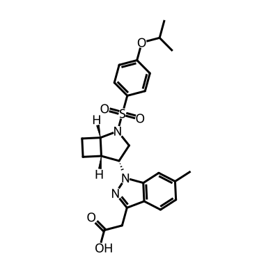 Cc1ccc2c(CC(=O)O)nn([C@H]3CN(S(=O)(=O)c4ccc(OC(C)C)cc4)[C@H]4CC[C@H]43)c2c1